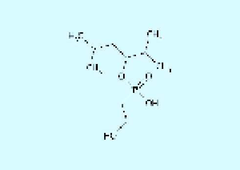 CC(C)CC(OP(=O)(O)CCO)C(C)C